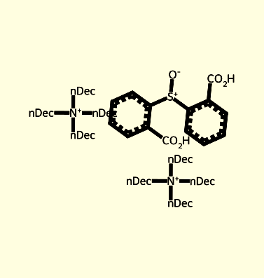 CCCCCCCCCC[N+](CCCCCCCCCC)(CCCCCCCCCC)CCCCCCCCCC.CCCCCCCCCC[N+](CCCCCCCCCC)(CCCCCCCCCC)CCCCCCCCCC.O=C(O)c1ccccc1[S+]([O-])c1ccccc1C(=O)O